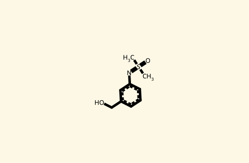 CS(C)(=O)=Nc1cccc(CO)c1